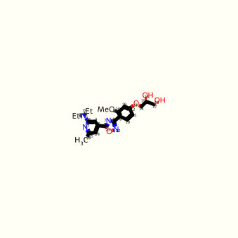 CCN(CC)c1cc(-c2nc(-c3ccc(OC[C@@H](O)CO)cc3OC)no2)cc(C)n1